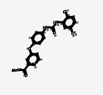 CNC(=O)c1cc(Oc2ccc(NC(=O)Nc3cc(C(F)(F)F)ccc3Cl)cc2)ccn1